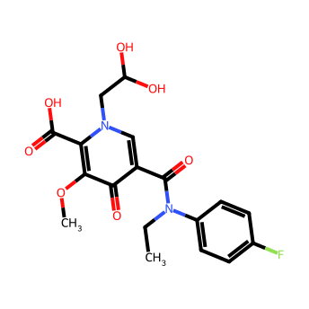 CCN(C(=O)c1cn(CC(O)O)c(C(=O)O)c(OC)c1=O)c1ccc(F)cc1